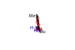 CCC(C)NC(=O)C(CCOCCOCCOCCSC)C(N)=O